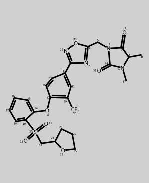 CC1C(=O)N(Cc2nc(-c3ccc(Oc4ccccc4S(=O)(=O)CC4CCCO4)c(C(F)(F)F)c3)no2)C(=O)N1C